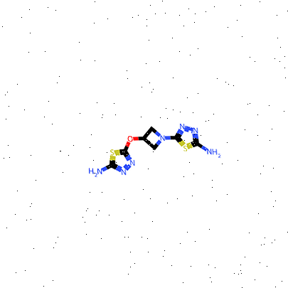 Nc1nnc(OC2CN(c3nnc(N)s3)C2)s1